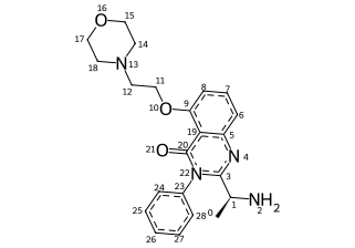 C[C@H](N)c1nc2cccc(OCCN3CCOCC3)c2c(=O)n1-c1ccccc1